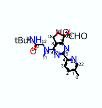 Cc1ccc(-c2nc3c(c(N(C)CC(=O)NC(C)(C)C)n2)CCC3)nc1.O=CO